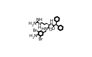 N=C(N)NCCC[C@@H](NC(=O)C(c1ccccc1)c1ccccc1)C(=O)NCc1cc(Br)c(N)c(Br)c1